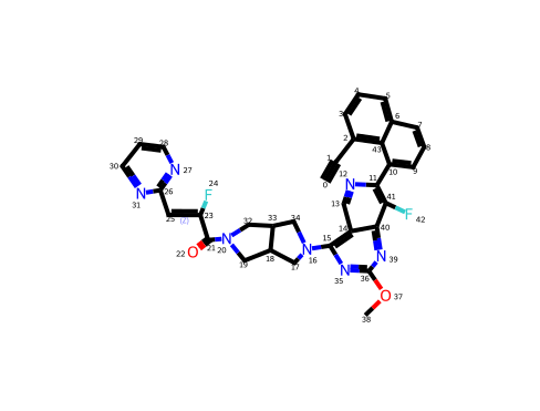 C#Cc1cccc2cccc(-c3ncc4c(N5CC6CN(C(=O)/C(F)=C/c7ncccn7)CC6C5)nc(OC)nc4c3F)c12